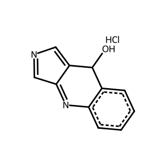 Cl.OC1C2=CN=CC2=Nc2ccccc21